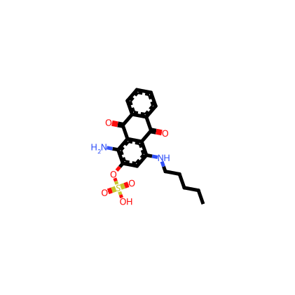 CCCCCNc1cc(OS(=O)(=O)O)c(N)c2c1C(=O)c1ccccc1C2=O